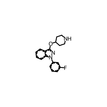 Fc1cccc(-n2nc(OC3CCNCC3)c3ccccc32)c1